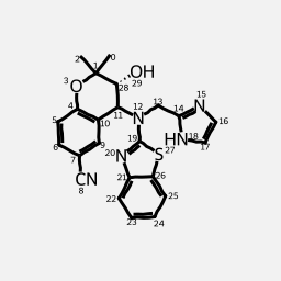 CC1(C)Oc2ccc(C#N)cc2C(N(Cc2ncc[nH]2)c2nc3ccccc3s2)[C@H]1O